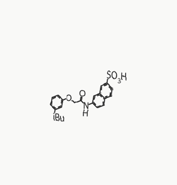 CCC(C)c1cccc(OCC(=O)Nc2ccc3ccc(S(=O)(=O)O)cc3c2)c1